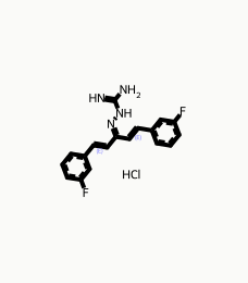 Cl.N=C(N)NN=C(/C=C/c1cccc(F)c1)/C=C/c1cccc(F)c1